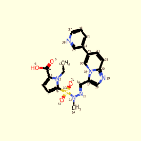 CCn1c(C(=O)O)ccc1S(=O)(=O)N(C)N=Cc1cnc2ccc(-c3cccnc3)cn12